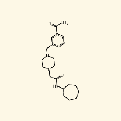 CC(=O)c1cccc(CN2CCN(CC(=O)NC3CCCCCC3)CC2)c1